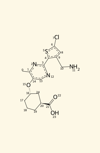 Cc1nc(-c2sc(Cl)cc2CN)ncc1O[C@H]1CCC[C@H](C(=O)O)C1